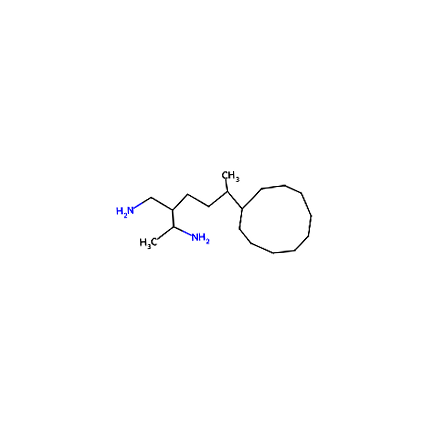 CC(N)C(CN)CCC(C)C1CCCCCCCCC1